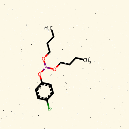 CCCCOP(OCCCC)Oc1ccc(Br)cc1